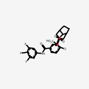 O=C(O)C=C1CC2CCC(C1)C2S(=O)(=O)c1cc(C(=O)Nc2cc(F)c(F)c(F)c2)ccc1Cl